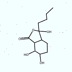 CCCCC1(O)OC(=O)C2C(O)C(O)CCC21